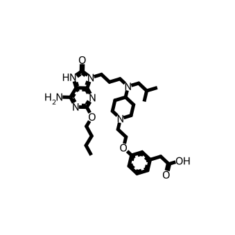 CCCCOc1nc(N)c2[nH]c(=O)n(CCCN(CC(C)C)C3CCN(CCOc4cccc(CC(=O)O)c4)CC3)c2n1